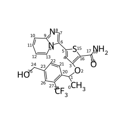 CC(Oc1cc(-c2cnc3ccccn23)sc1C(N)=O)c1ccc(CO)cc1C(F)(F)F